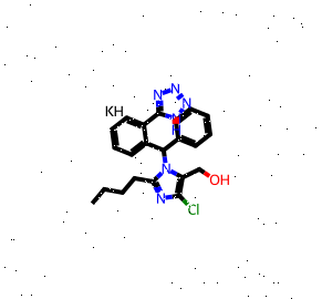 CCCCc1nc(Cl)c(CO)n1C(c1ccccc1)c1ccccc1-c1nnn[nH]1.[KH]